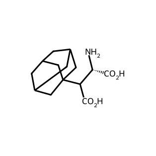 N[C@H](C(=O)O)C(C(=O)O)C12CC3CC(CC(C3)C1)C2